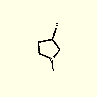 FC1CCN(I)C1